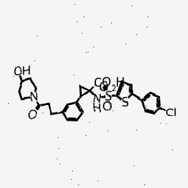 O=C(CCc1cccc(C2CC2(NS(=O)(=O)c2ccc(-c3ccc(Cl)cc3)s2)C(=O)O)c1)N1CCC(O)CC1